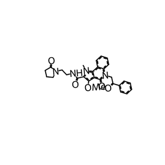 COc1c(C(=O)NCCN2CCCC2=O)n(C)c2c1c(=O)n(CC(=O)c1ccccc1)c1ccccc21